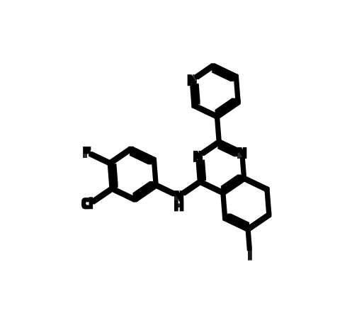 Fc1ccc(Nc2nc(-c3cccnc3)nc3c2C=C(I)CC3)cc1Cl